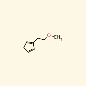 COCCC1=CCC=C1